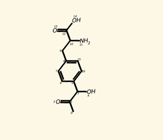 CC(=O)C(O)c1ccc(CC(N)C(=O)O)cc1